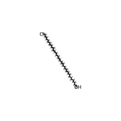 OCCCCCCCCCCCCCCCCCCCCCCCCCCCCCCCCCCCCCCCCl